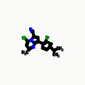 Cc1cc(Cl)n2c(C#N)cc(-c3ccc(C(C)C)cc3Br)c2n1